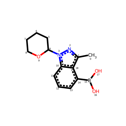 Cc1nn(C2CCCCO2)c2cccc(B(O)O)c12